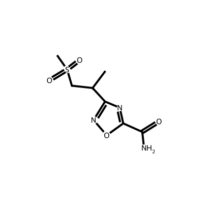 C[C](CS(C)(=O)=O)c1noc(C(N)=O)n1